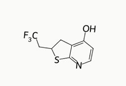 Oc1ccnc2c1CC(CC(F)(F)F)S2